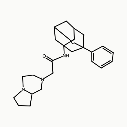 O=C(CN1CCN2CCCC2C1)NC12CC3CC(C1)CC(c1ccccc1)(C3)C2